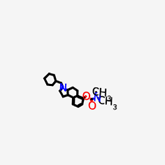 CN(C)C(=O)Oc1cccc2c1CCC1C2CCN1CC1CCCCC1